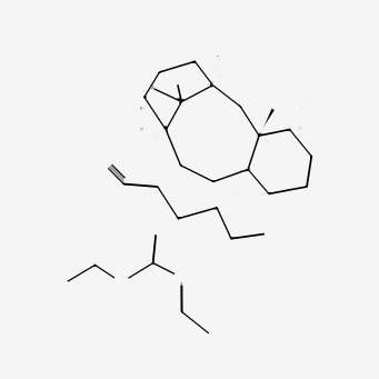 CCCCCC=O.CCOC(C)OCC.C[C@@H]1CCC[C@@]2(C)CC[C@H]3[C@H](C)CC[C@@H](C[C@H]12)C3(C)C